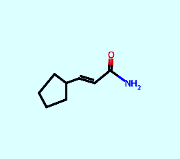 NC(=O)C=CC1CCCC1